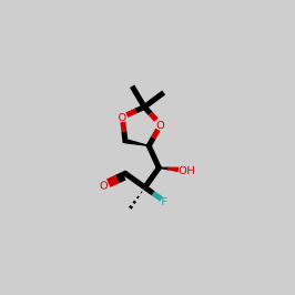 CC1(C)OC[C@H]([C@@H](O)[C@@](C)(F)C=O)O1